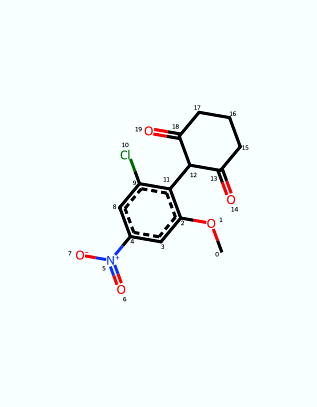 COc1cc([N+](=O)[O-])cc(Cl)c1C1C(=O)CCCC1=O